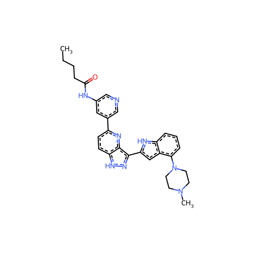 CCCCC(=O)Nc1cncc(-c2ccc3[nH]nc(-c4cc5c(N6CCN(C)CC6)cccc5[nH]4)c3n2)c1